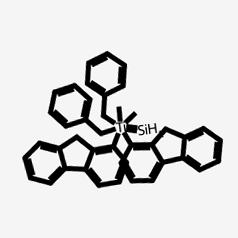 [CH3][Ti]([CH3])(=[SiH2])([CH2]c1ccccc1)([CH2]c1ccccc1)([c]1cccc2c1Cc1ccccc1-2)[c]1cccc2c1Cc1ccccc1-2